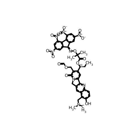 CC[C@H](OC(=O)C(C)(C)ON=C1c2cc([N+](=O)[O-])cc([N+](=O)[O-])c2-c2c1cc([N+](=O)[O-])cc2[N+](=O)[O-])c1cc2n(c(=O)c1COC=O)Cc1cc3c(CN(C)C)c(O)ccc3nc1-2